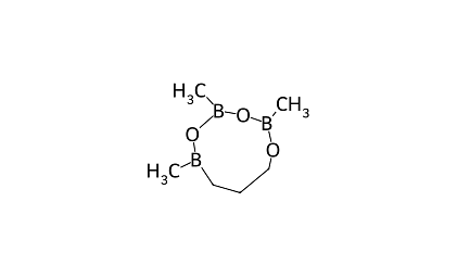 CB1CCCOB(C)OB(C)O1